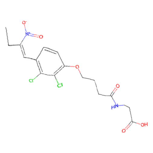 CCC(=Cc1ccc(OCCCC(=O)NCC(=O)O)c(Cl)c1Cl)[N+](=O)[O-]